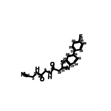 N#CCNC(=O)CNC(=O)Cc1nc2ccc(-c3ccc(F)cc3)cc2s1